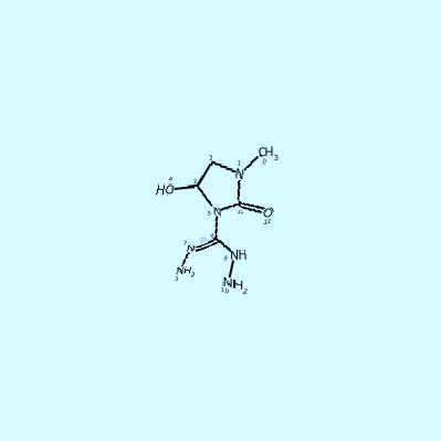 CN1CC(O)N(/C(=N/N)NN)C1=O